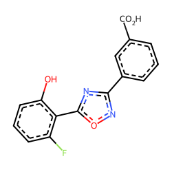 O=C(O)c1cccc(-c2noc(-c3c(O)cccc3F)n2)c1